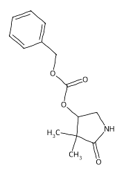 CC1(C)C(=O)NCC1OC(=O)OCc1ccccc1